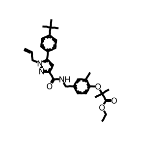 C=CCn1nc(C(=O)NCc2ccc(OC(C)(C)C(=O)OCC)c(C)c2)cc1-c1ccc(C(C)(C)C)cc1